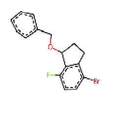 Fc1ccc(Br)c2c1C(OCc1ccccc1)CC2